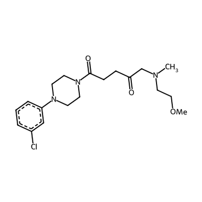 COCCN(C)CC(=O)CCC(=O)N1CCN(c2cccc(Cl)c2)CC1